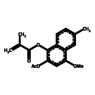 C=C(C)C(=O)Oc1c(OC(C)=O)cc(OC)c2cc(C)ccc12